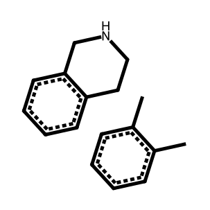 Cc1ccccc1C.c1ccc2c(c1)CCNC2